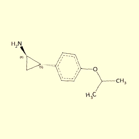 CC(C)Oc1ccc([C@@H]2C[C@H]2N)cc1